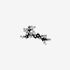 CC(ON=C(C(=O)NC1C(=O)N(OS(=O)(=O)O)C1(C)C)c1csc(N)n1)(C(=O)O)C1CCc2cc(C(=N)NC3CC(N)([C@@H](O)CO)C3)ccc2O1